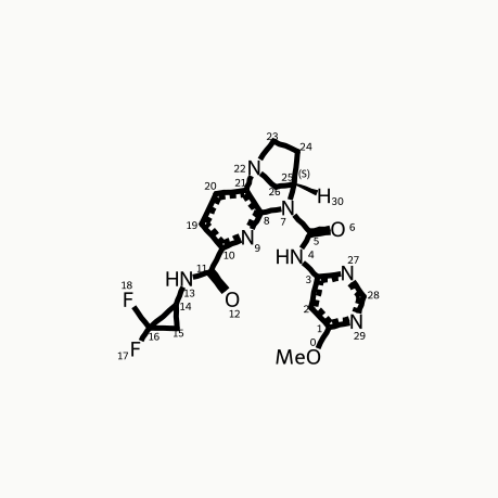 COc1cc(NC(=O)N2c3nc(C(=O)NC4CC4(F)F)ccc3N3CC[C@H]2C3)ncn1